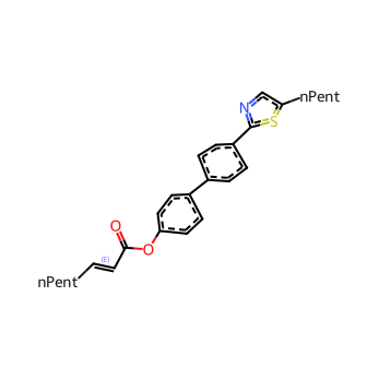 CCCCC/C=C/C(=O)Oc1ccc(-c2ccc(-c3ncc(CCCCC)s3)cc2)cc1